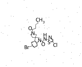 CCCCC(=O)N1CCC2(C1)CN(C(=O)Nc1ncc(Cl)s1)c1ccc(Br)cc12